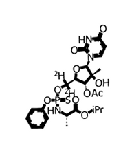 [2H]C([2H])(OP(=S)(N[C@@H](C)C(=O)OC(C)C)Oc1ccccc1)[C@H]1O[C@@H](n2ccc(=O)[nH]c2=O)[C@](C)(O)[C@@H]1OC(C)=O